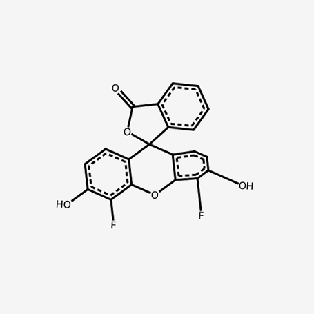 O=C1OC2(c3ccccc31)c1ccc(O)c(F)c1Oc1c2ccc(O)c1F